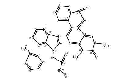 CC1C=c2c(ccc3c2=CC(=O)c2ccccc2-3)C(C)C1=O.CCNC(=O)Cn1cnc2ncncc21.Cc1ccccc1